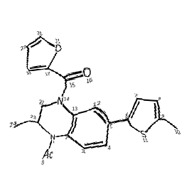 CC(=O)N1c2ccc(-c3ccc(C)s3)cc2N(C(=O)c2ccco2)CC1C